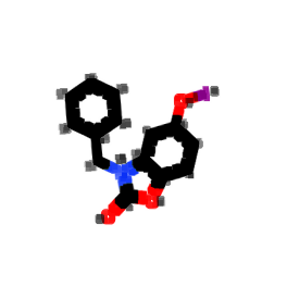 O=c1oc2ccc(OI)cc2n1Cc1ccccc1